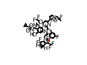 CC(F)(F)Cn1ccc(-c2cc(=O)n(-c3ccc(Cl)c4c(NS(=O)(=O)C5CC5)nn(CC(F)F)c34)c([C@H](Cc3cc(F)cc(F)c3)NC(=O)Cn3nc(C(F)F)c4c3C(F)(F)[C@@H]3C[C@H]43)n2)n1